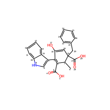 CC1C(C(=O)O)=C(c2c[nH]c3ccccc23)C(O)=CC1(Cc1ccccc1)C(=O)O